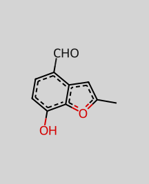 Cc1cc2c(C=O)ccc(O)c2o1